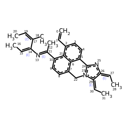 C=Cc1ccc2c3c(ccc(/C(C)=N/C(=C/C)C(/C)=C\C)c13)Cn1c-2nc(=C/C)/c1=C\C